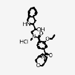 CCOc1cc(C(=O)N2C3CCC2COC3)ccc1C(=O)N(C)CC(O)C1Cc2ccccc2CN1.Cl